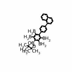 Bc1c(B)c(-c2ccc(-c3cccc4ccccc34)cc2)c(B)c(B)c1B1OC(C)(C)C(C)(C)O1